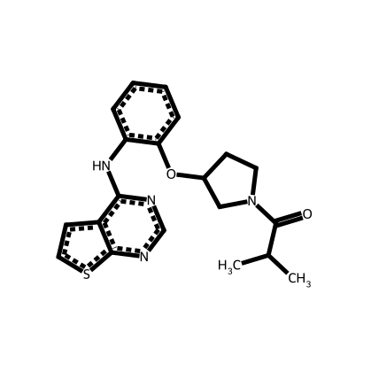 CC(C)C(=O)N1CCC(Oc2ccccc2Nc2ncnc3sccc23)C1